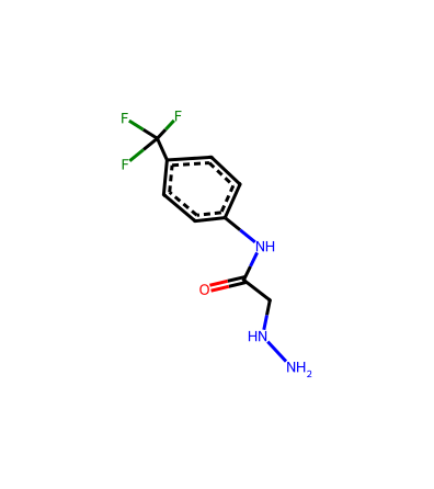 NNCC(=O)Nc1ccc(C(F)(F)F)cc1